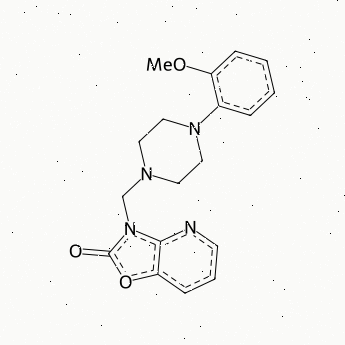 COc1ccccc1N1CCN(Cn2c(=O)oc3cccnc32)CC1